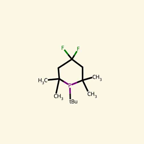 CC(C)(C)P1C(C)(C)CC(F)(F)CC1(C)C